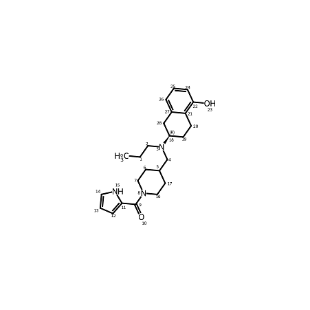 CCCN(CC1CCN(C(=O)c2ccc[nH]2)CC1)[C@@H]1CCc2c(O)cccc2C1